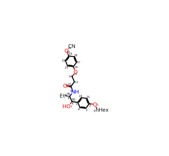 CCCCCCOc1ccc([C@@H](O)[C@@H](CC)NC(=O)CCOc2ccc(OC#N)cc2)cc1